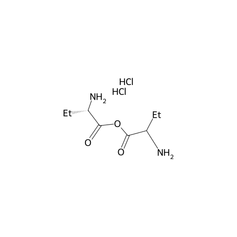 CCC(N)C(=O)OC(=O)[C@@H](N)CC.Cl.Cl